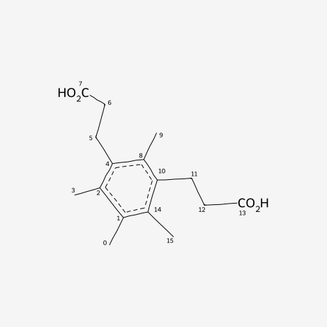 Cc1c(C)c(CCC(=O)O)c(C)c(CCC(=O)O)c1C